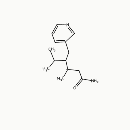 C[C](CC(N)=O)C(Cc1cccnc1)C(C)C